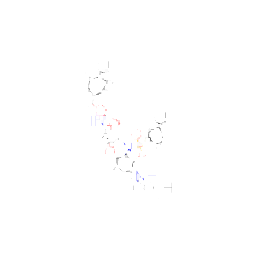 O=C(O)Nc1ccc2c(c1)N(S(=O)(=O)c1cccc(C(F)(F)F)c1)CC(CC(=O)NOCc1ccc(C(F)(F)F)cc1)O2